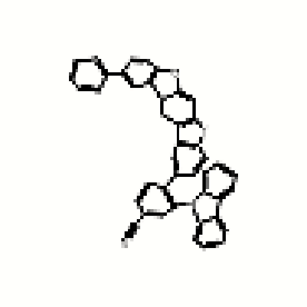 N#Cc1ccc(-c2ccc3oc4c(c3c2)CC2C(=C4)Oc3ccc(-c4ccccc4)cc32)c(-n2c3ccccc3c3ccccc32)c1